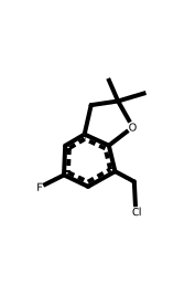 CC1(C)Cc2cc(F)cc(CCl)c2O1